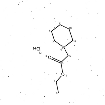 CCOC(=O)CN1CCCCC1.Cl